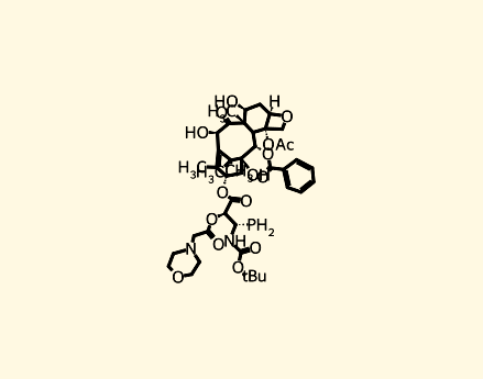 CC(=O)O[C@@]12CO[C@@H]1C[C@H](O)[C@@]1(C)C(=O)[C@H](O)C3=C(C)[C@@H](OC(=O)[C@H](OC(=O)CN4CCOCC4)[C@H](P)NC(=O)OC(C)(C)C)C[C@@](O)([C@@H](OC(=O)c4ccccc4)C12)C3(C)C